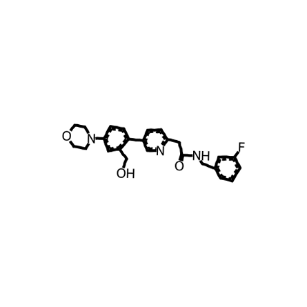 O=C(Cc1ccc(-c2ccc(N3CCOCC3)cc2CO)cn1)NCc1cccc(F)c1